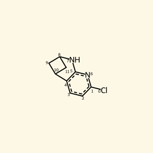 Clc1ccc2c(n1)NC1CC2C1